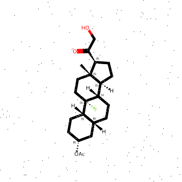 CC(=O)O[C@@H]1CC[C@H]2[C@H](CC[C@H]3[C@@H]4CC[C@H](C(=O)CO)[C@@]4(C)CC[C@]23F)C1